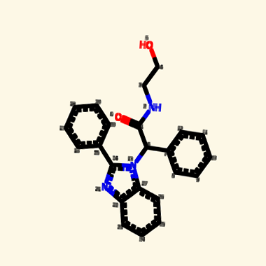 O=C(NCCO)C(c1ccccc1)n1c(-c2ccccc2)nc2ccccc21